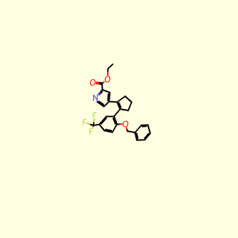 CCOC(=O)c1cc(C2=C(c3cc(C(F)(F)F)ccc3OCc3ccccc3)CCC2)ccn1